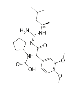 COc1ccc(CC(=O)N=C(N)N[C@H](C)CC(C)C)cc1OC.O=C(O)NC1CCCC1